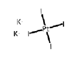 [I][Pt]([I])([I])[I].[K].[K]